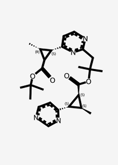 C[C@@H]1[C@H](C(=O)OC(C)(C)Cc2nccc([C@@H]3C(C(=O)OC(C)(C)C)[C@@H]3C)n2)[C@H]1c1ccncn1